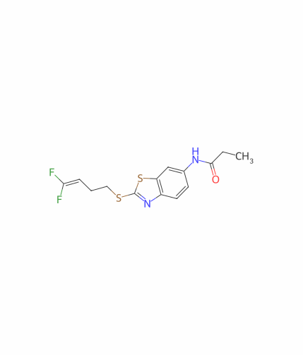 CCC(=O)Nc1ccc2nc(SCCC=C(F)F)sc2c1